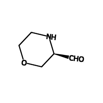 O=C[C@H]1COCCN1